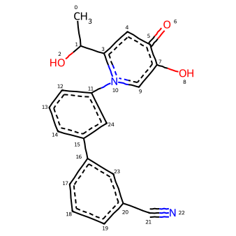 CC(O)c1cc(=O)c(O)cn1-c1cccc(-c2cccc(C#N)c2)c1